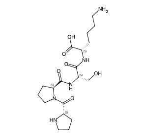 NCCCC[C@H](NC(=O)[C@H](CO)NC(=O)[C@@H]1CCCN1C(=O)[C@@H]1CCCN1)C(=O)O